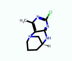 Cc1nc(Cl)nc2c1N1CCC[C@@H](C1)N2